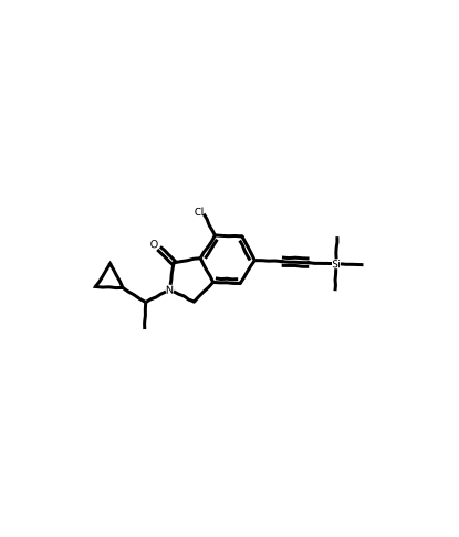 CC(C1CC1)N1Cc2cc(C#C[Si](C)(C)C)cc(Cl)c2C1=O